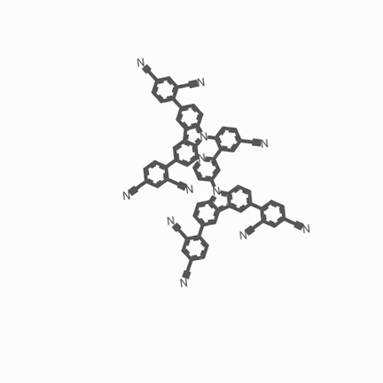 N#Cc1ccc(-c2ccc3c(c2)c2cc(-c4ccc(C#N)cc4C#N)ccc2n3-c2ccnc(-c3cc(C#N)ccc3-n3c4ccc(-c5ccc(C#N)cc5C#N)cc4c4cc(-c5ccc(C#N)cc5C#N)ccc43)c2)c(C#N)c1